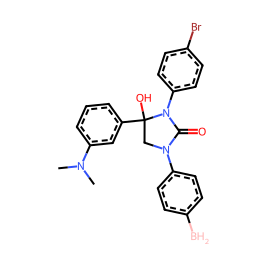 Bc1ccc(N2CC(O)(c3cccc(N(C)C)c3)N(c3ccc(Br)cc3)C2=O)cc1